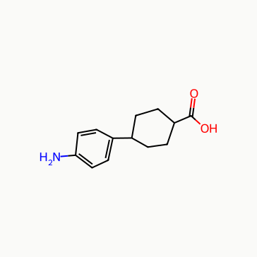 Nc1ccc(C2CCC(C(=O)O)CC2)cc1